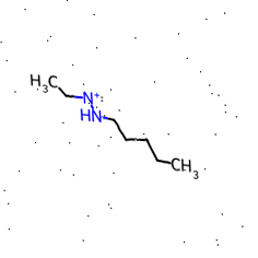 CCCCCN[N+]CC